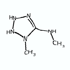 CNC1=NNNN1C